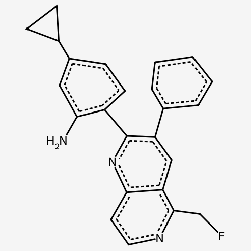 Nc1cc(C2CC2)ccc1-c1nc2ccnc(CF)c2cc1-c1ccccc1